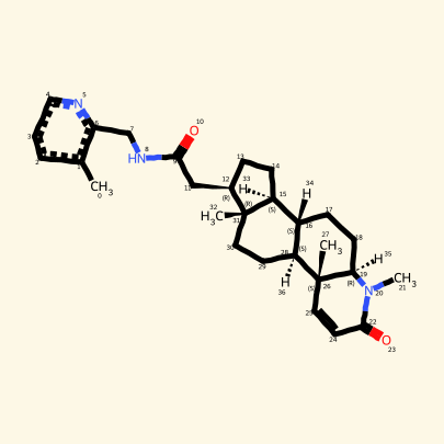 Cc1cccnc1CNC(=O)C[C@H]1CC[C@H]2[C@@H]3CC[C@H]4N(C)C(=O)C=C[C@]4(C)[C@H]3CC[C@]12C